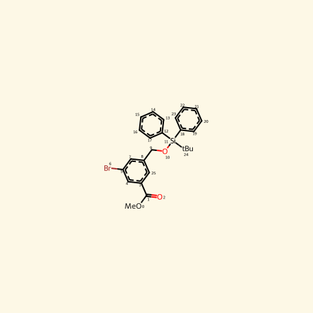 COC(=O)c1cc(Br)cc(CO[Si](c2ccccc2)(c2ccccc2)C(C)(C)C)c1